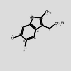 CCOC(=O)Cc1c(C)[nH]c2cc(Cl)c(Cl)cc12